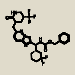 O=C(N[C@H](c1cn2nc(CC3C[C@@H](C(F)(F)F)CNC3=O)ccc2n1)[C@H]1CCCC(F)(F)C1)OCc1ccccc1